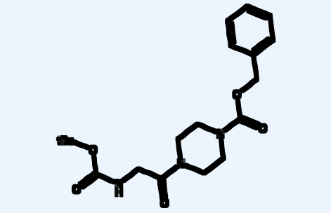 CC(C)(C)OC(=O)NCC(=O)N1CCN(C(=O)OCc2ccccc2)CC1